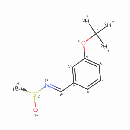 [2H]C([2H])([2H])Oc1cccc(/C=N/[S@@+]([O-])C(C)(C)C)c1